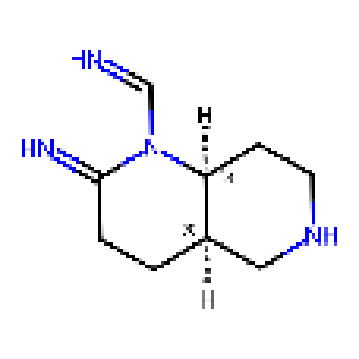 N=CN1C(=N)CC[C@@H]2CNCC[C@@H]21